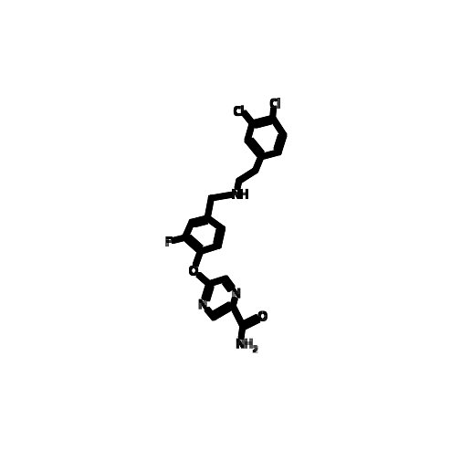 NC(=O)c1cnc(Oc2ccc(CNCCc3ccc(Cl)c(Cl)c3)cc2F)cn1